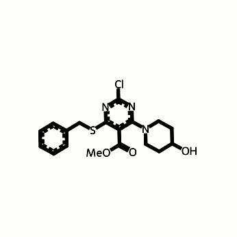 COC(=O)c1c(SCc2ccccc2)nc(Cl)nc1N1CCC(O)CC1